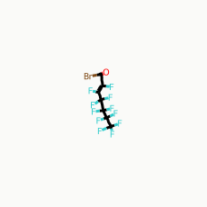 O=C(Br)C(F)=C(F)C(F)(F)C(F)(F)C(F)(F)C(F)(F)F